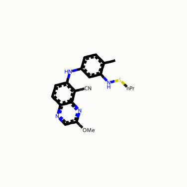 CCCSNc1cc(Nc2ccc3ncc(OC)nc3c2C#N)ccc1C